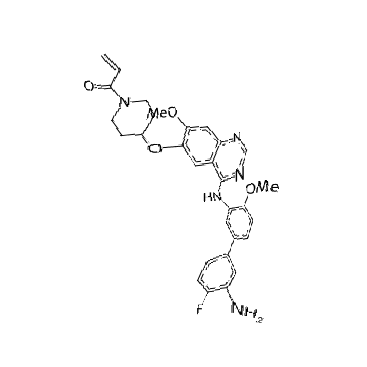 C=CC(=O)N1CCC(Oc2cc3c(Nc4cc(-c5ccc(F)c(N)c5)ccc4OC)ncnc3cc2OC)CC1